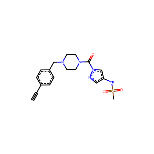 C#Cc1ccc(CN2CCN(C(=O)n3cc(NS(C)(=O)=O)cn3)CC2)cc1